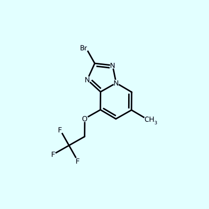 Cc1cc(OCC(F)(F)F)c2nc(Br)nn2c1